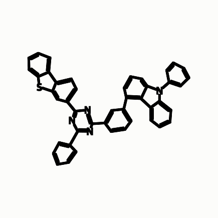 c1ccc(-c2nc(-c3cccc(-c4cccc5c4c4ccccc4n5-c4ccccc4)c3)nc(-c3ccc4c(c3)sc3ccccc34)n2)cc1